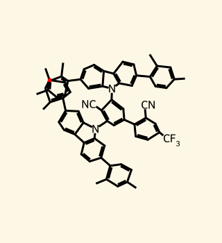 Cc1ccc(-c2ccc3c4ccc(-c5ccc(C)cc5C)cc4n(-c4cc(-c5ccc(C(F)(F)F)cc5C#N)cc(-n5c6cc(-c7ccc(C)cc7C)ccc6c6ccc(-c7ccc(C)cc7C)cc65)c4C#N)c3c2)c(C)c1